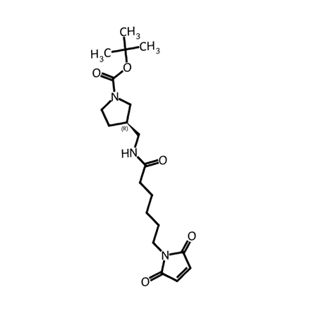 CC(C)(C)OC(=O)N1CC[C@H](CNC(=O)CCCCCN2C(=O)C=CC2=O)C1